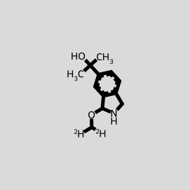 [2H]C([2H])OC1NCc2ccc(C(C)(C)O)cc21